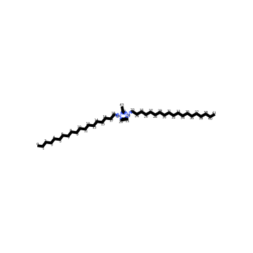 CCCCCCCCCCCCCCCCCCCn1cc[n+](CCCCCCCCCCCCCCCCCCC)c1C